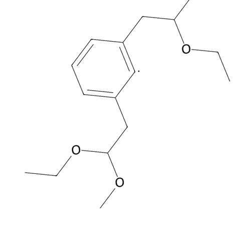 CCOC(Cc1[c]c(CC(OC)OCC)ccc1)OC